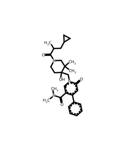 CC(CC1CC1)C(=O)N1CCC(O)(Cn2cc(C(=O)N(C)C)c(-c3ccccc3)cc2=O)C(C)(C)C1